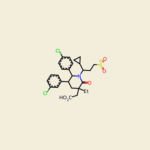 CCC1(CC(=O)O)CC(c2cccc(Cl)c2)C(c2ccc(Cl)cc2)N(C(CC[SH](=O)=O)C2CC2)C1=O